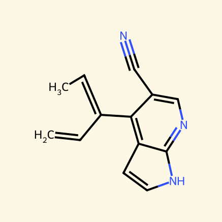 C=C/C(=C\C)c1c(C#N)cnc2[nH]ccc12